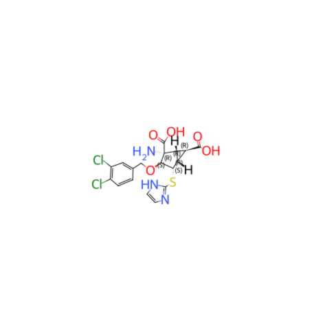 N[C@]1(C(=O)O)[C@@H]2[C@@H](C(=O)O)[C@@H]2[C@H](Sc2ncc[nH]2)[C@H]1OCc1ccc(Cl)c(Cl)c1